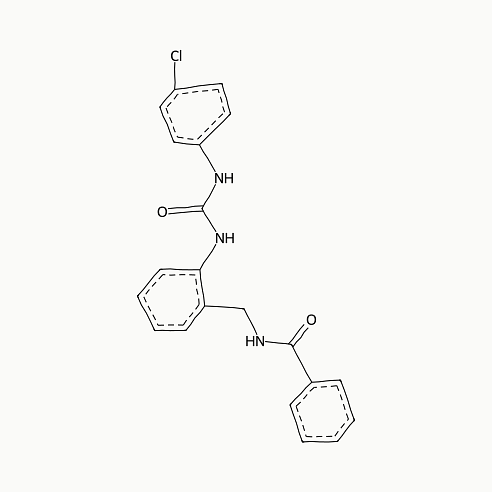 O=C(Nc1ccc(Cl)cc1)Nc1ccccc1CNC(=O)c1ccccc1